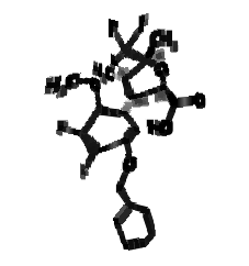 COc1c([C@H]2[C@H](C(=O)O)O[C@@](C)(C(F)(F)F)[C@H]2C)cc(OCc2ccccc2)c(F)c1F